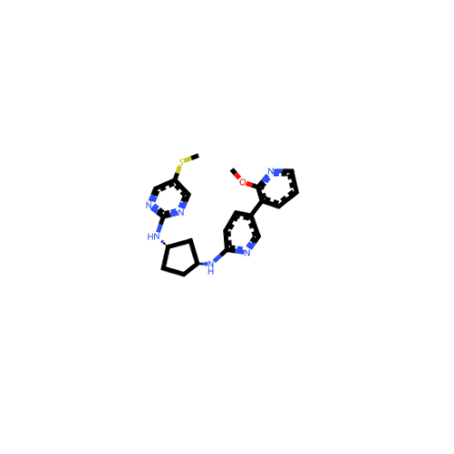 COc1ncccc1-c1ccc(N[C@H]2CC[C@H](Nc3ncc(SC)cn3)C2)nc1